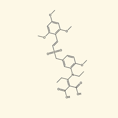 CCC(=C(C(=O)O)C(=O)O)N(CC)c1cc(CS(=O)(=O)C=Cc2c(OC)cc(OC)cc2OC)ccc1OC